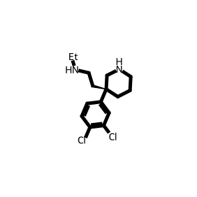 CCNCC[C@]1(c2ccc(Cl)c(Cl)c2)CCCNC1